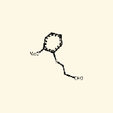 COc1ccccc1SCCC=O